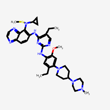 CCc1cc(Nc2ncc(CC)c(Nc3ccc4nccnc4c3N(SC)C3CC3)n2)c(OC)cc1N1CCC(N2CCN(C)CC2)CC1